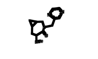 CNC1CC2CC2CN(Cc2cnccn2)C1=O